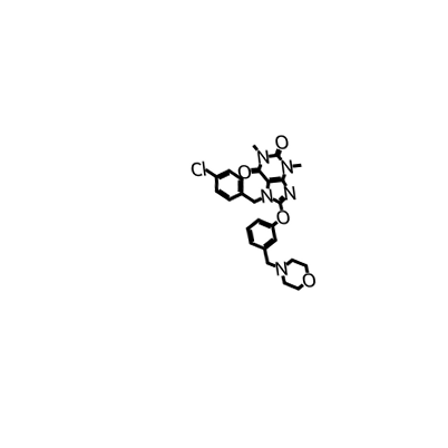 Cn1c(=O)c2c(nc(Oc3cccc(CN4CCOCC4)c3)n2Cc2ccc(Cl)cc2)n(C)c1=O